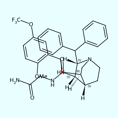 COc1ccc(OC(F)(F)F)cc1CN[C@H]1[C@H]2CCN(C[C@@H]2C(=O)NCC(N)=O)[C@H]1C(c1ccccc1)c1ccccc1